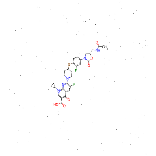 CC(=O)NC[C@H]1CN(c2ccc(SC3CCN(c4nc5c(cc4F)c(=O)c(C(=O)O)cn5C4CC4)CC3)c(F)c2)C(=O)O1